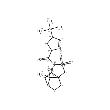 CC1(C)C2CCC13CS(=O)(=O)N(C(=O)C1CC([Si](C)(C)C)N=N1)C3C2